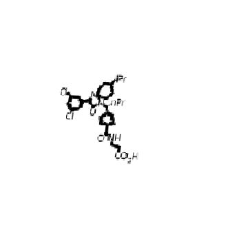 CCC[C@H](c1ccc(C(=O)NCCC(=O)O)cc1)N1C(=O)C(c2cc(Cl)cc(Cl)c2)=NC12CCC(C(C)C)CC2